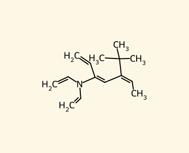 C=C/C(=C\C(=C/C)C(C)(C)C)N(C=C)C=C